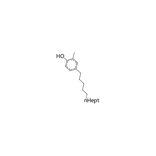 CCCCCCCCCCCCc1ccc(O)c(C)c1